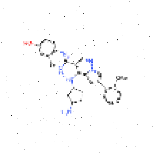 CCc1cc(O)ccc1/N=C(\N)c1cnn2cc(-c3ccccc3SC)cc2c1NC1CCC(N)C1